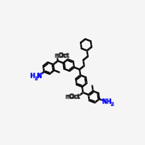 CCCCCCCCC(c1ccc(C(CCCC2CCCCC2)c2ccc(C(CCCCCCCC)c3ccc(N)cc3C)cc2)cc1)c1ccc(N)cc1C